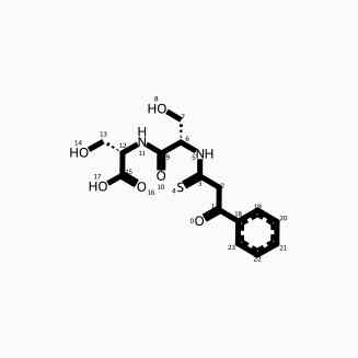 O=C(CC(=S)N[C@@H](CO)C(=O)N[C@@H](CO)C(=O)O)c1ccccc1